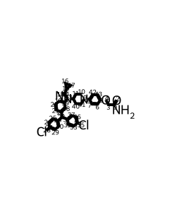 NC(=O)COc1ccc(N2CCC(n3c(C4CC4)nc4ccc(C(c5ccc(Cl)cc5)c5ccc(Cl)cc5)cc43)CC2)cc1